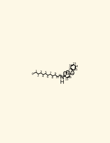 CCCCCCCCCCCCNC(=O)/C=C\C(=O)Oc1ccccc1